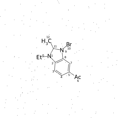 CCN1c2ccc(C(C)=O)cc2N(Br)C1C